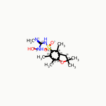 C/N=C(\NO)NS(=O)(=O)c1c(C)c(C)c2c(c1C)CC(C)(C)O2